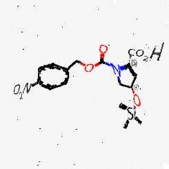 C[Si](C)(C)O[C@@H]1C[C@@H](C(=O)O)N(C(=O)OCc2ccc([N+](=O)[O-])cc2)C1